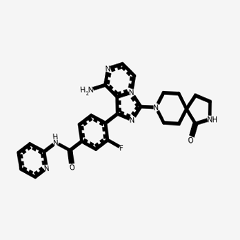 Nc1nccn2c(N3CCC4(CCNC4=O)CC3)nc(-c3ccc(C(=O)Nc4ccccn4)cc3F)c12